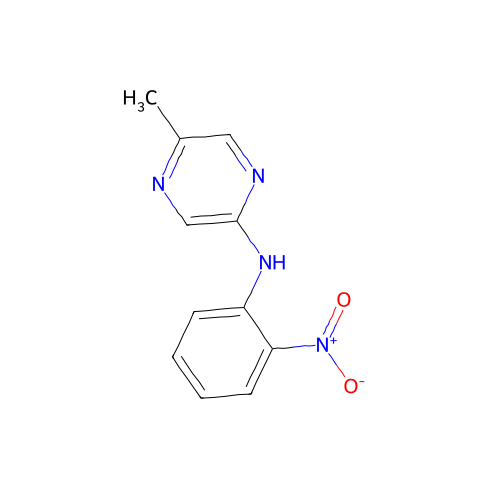 Cc1cnc(Nc2ccccc2[N+](=O)[O-])cn1